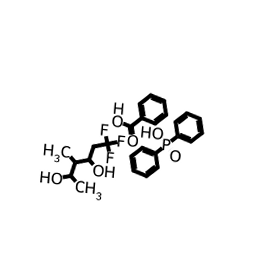 CC(O)C(C)C(O)CC(F)(F)F.O=C(O)c1ccccc1.O=P(O)(c1ccccc1)c1ccccc1